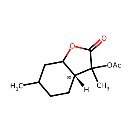 CC(=O)OC1(C)C(=O)OC2CC(C)CC[C@H]21